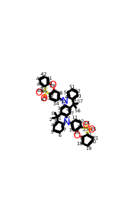 CC1(C)c2ccccc2N(c2ccc3c(c2)Oc2ccccc2S3(=O)=O)c2cc3c(cc21)N(c1ccc2c(c1)Oc1ccccc1S2(=O)=O)c1ccccc1C3(C)C